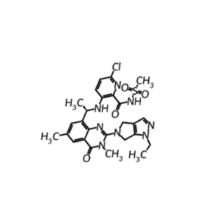 CCn1ncc2c1CN(c1nc3c([C@@H](C)Nc4ccc(Cl)nc4C(=O)NS(C)(=O)=O)cc(C)cc3c(=O)n1C)C2